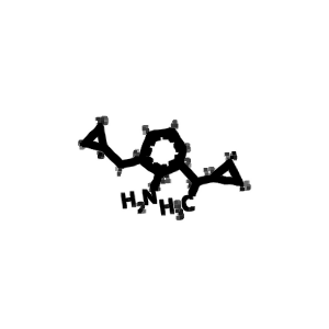 CC(c1cccc(CC2CC2)c1N)C1CC1